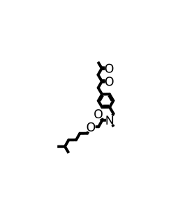 CC(=O)CC(=O)Cc1ccc(CN(C)C(=O)COCCCCC(C)C)cc1